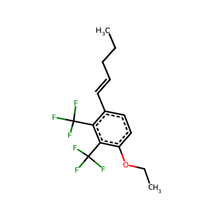 CCC/C=C/c1ccc(OCC)c(C(F)(F)F)c1C(F)(F)F